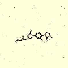 CN1CCN(c2ccc(N3C[C@H](CNCC=S)OC3=O)cc2F)C1=O